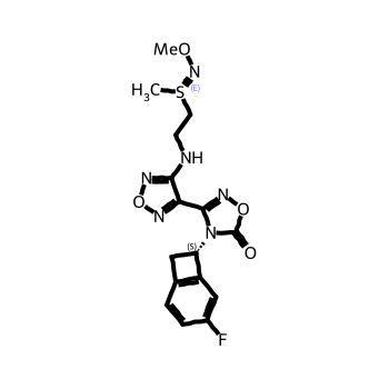 CO/N=S(\C)CCNc1nonc1-c1noc(=O)n1[C@H]1Cc2ccc(F)cc21